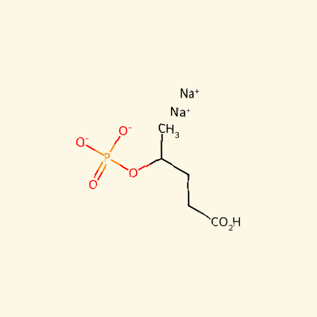 CC(CCC(=O)O)OP(=O)([O-])[O-].[Na+].[Na+]